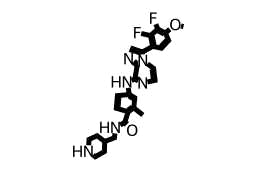 COc1ccc(-c2cnc3c(Nc4ccc(C(=O)NCC5CCNCC5)c(C)c4)nccn23)c(F)c1F